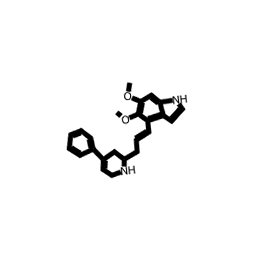 COc1cc2[nH]ccc2c(/C=C/CC2CC(c3ccccc3)=CCN2)c1OC